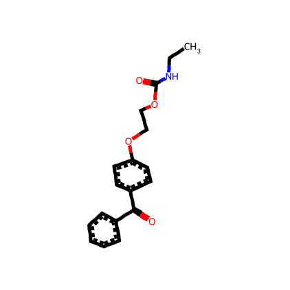 CCNC(=O)OCCOc1ccc(C(=O)c2ccccc2)cc1